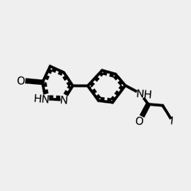 O=C(CI)Nc1ccc(-c2ccc(=O)[nH]n2)cc1